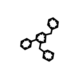 c1ccc(Cc2ccc(-c3ccccc3)c(Cc3ccccc3)c2)cc1